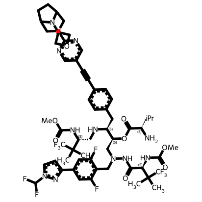 COC(=O)N[C@H](C(=O)NN(Cc1c(F)cc(-c2ccn(C(F)F)n2)cc1F)C[C@H](OC(=O)[C@@H](N)C(C)C)[C@H](Cc1ccc(C#Cc2cnc(N3CC4CCC(C3)N4C3COC3)nc2)cc1)NC[C@@H](NC(=O)OC)C(C)(C)C(F)(F)F)C(C)(C)C(F)(F)F